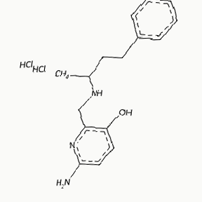 C.CC(CCc1ccccc1)NCc1nc(N)ccc1O.Cl.Cl